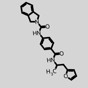 CC(Cc1ccco1)NC(=O)c1ccc(NC(=O)N2Cc3ccccc3C2)cc1